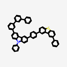 c1ccc(-c2cccc(-c3cccc(-c4ccc5c(c4)c4cc(-c6ccc(-c7ccc8sc9ccc(-c%10ccccc%10)cc9c8c7)cc6)ccc4n5-c4ccccc4)c3)c2)cc1